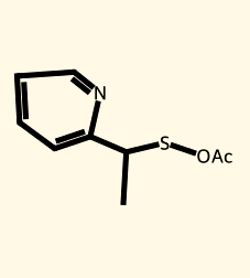 CC(=O)OSC(C)c1ccccn1